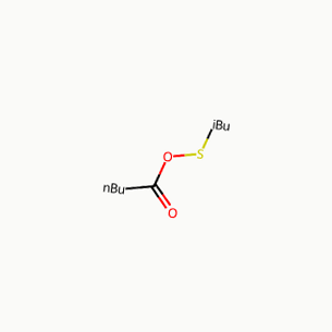 CCCCC(=O)OSC(C)CC